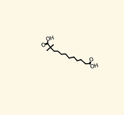 CC(C)(CCCCCCCCCC(=O)O)C(=O)O